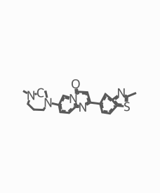 Cc1nc2cc(-c3cc(=O)n4cc(N5CCCN(C)CC5)ccc4n3)ccc2s1